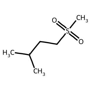 C[C](C)CCS(C)(=O)=O